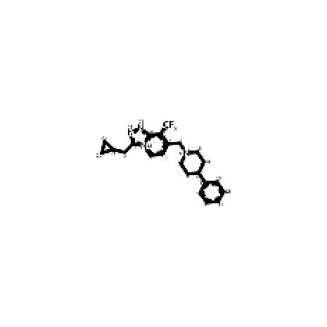 FC(F)(F)c1c(CN2CCC(c3ccccc3)CC2)ccn2c(CC3CC3)nnc12